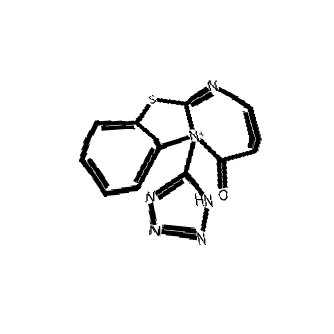 O=C1C=CN=C2Sc3ccccc3[N+]12c1nnn[nH]1